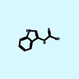 [NH]C(=S)Nc1c[nH]c2ccccc12